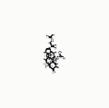 CC(=O)OCC(=O)[C@H]1CC[C@H]2[C@@H]3CC[C@H]4CC(=O)CC[C@]4(C)[C@H]3[C@H](OC(C)=O)C[C@]12C